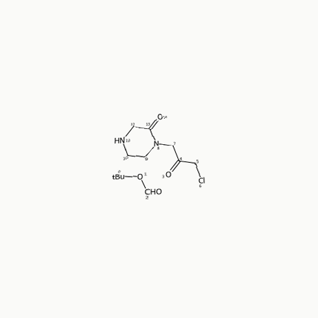 CC(C)(C)OC=O.O=C(CCl)CN1CCNCC1=O